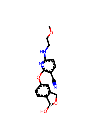 COCCNc1ccc(C#N)c(Oc2ccc3c(c2)COB3O)n1